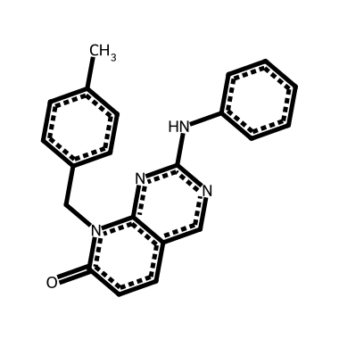 Cc1ccc(Cn2c(=O)ccc3cnc(Nc4ccccc4)nc32)cc1